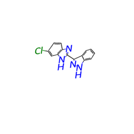 Clc1ccc2nc(-c3n[nH]c4ccccc34)[nH]c2c1